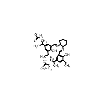 CC(=O)[O-].CC(=O)[O-].CCc1cc(C(C)C)cc(C=NC2CCCCC2N=Cc2cc(C(C)C)cc(CC)c2O)c1O.[Co+2]